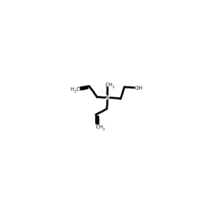 C=CCS(C)(CC=C)CCO